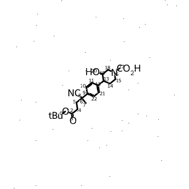 CC(C)(C)OC(=O)CCC(C)(C#N)c1ccc(C2CCN(C(=O)O)CC2O)cc1